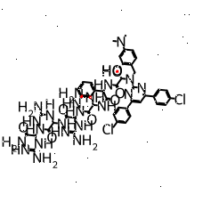 CN(C)c1ccc(CN(c2nc(-c3ccc(Cl)cc3)cc(-c3ccc(Cl)cc3)n2)C(O)C(=O)NC(C(=O)NC(NC(=N)N)C(=O)NC(NC(=N)N)C(=O)NC(NC(=N)N)C(=O)NC(NC(=N)N)C(N)=O)c2ccccc2)c(O)c1